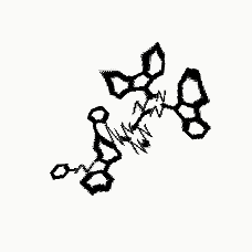 c1ccc(-n2c3ccccc3c3cc4c(cc32)c2ccccc2n4-c2ncnc(-c3nc(C4c5ccccc5-c5ccccc54)nc(C4c5ccccc5-c5ccccc54)n3)n2)cc1